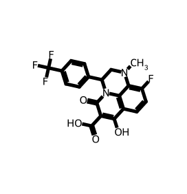 CN1CC(c2ccc(C(F)(F)F)cc2)n2c(=O)c(C(=O)O)c(O)c3ccc(F)c1c32